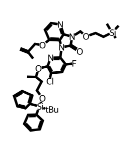 C=C(C)COc1ccnc2c1n(-c1nc(OC(C)CCO[Si](c3ccccc3)(c3ccccc3)C(C)(C)C)c(Cl)cc1F)c(=O)n2COCC[Si](C)(C)C